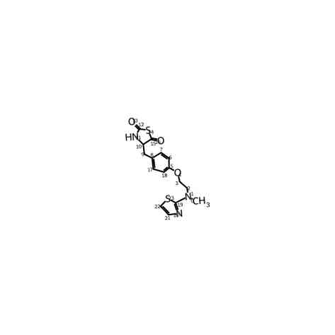 CN(CCOc1ccc(CC2NC(=O)SC2=O)cc1)c1nccs1